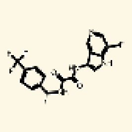 C[C@@H](NC(=O)C(=O)Nc1c[nH]c2c(F)cncc12)c1ccc(C(F)(F)F)cc1